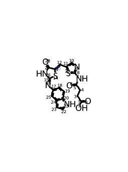 O=C(O)CCC(=O)Nc1ncc(/C=C2\SC(=Nc3ccc4[nH]ccc4c3)NC2=O)s1